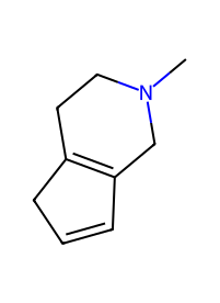 CN1CCC2=C(C=CC2)C1